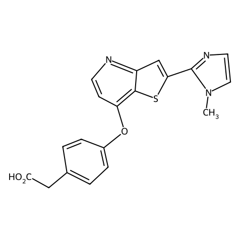 Cn1ccnc1-c1cc2nccc(Oc3ccc(CC(=O)O)cc3)c2s1